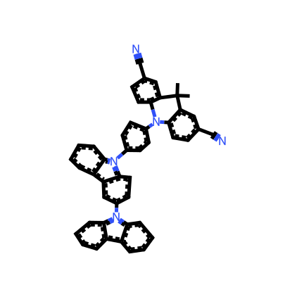 CC1(C)c2cc(C#N)ccc2N(c2ccc(-n3c4ccccc4c4cc(-n5c6ccccc6c6ccccc65)ccc43)cc2)c2ccc(C#N)cc21